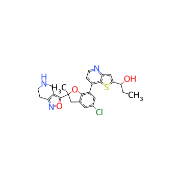 CCC(O)c1cc2nccc(-c3cc(Cl)cc4c3OC(C)(c3onc5c3CNCC5)C4)c2s1